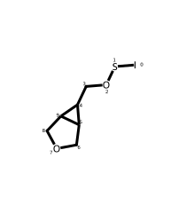 ISOCC1C2COCC21